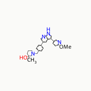 COc1ccc(-c2c[nH]c3ncc(-c4ccc(CN5CCCC(C)(O)C5)cc4)cc23)cn1